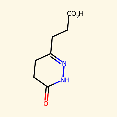 O=C(O)CCC1=NNC(=O)CC1